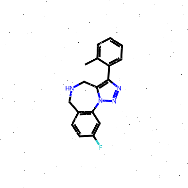 Cc1ccccc1-c1nnn2c1CNCc1ccc(F)cc1-2